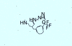 CNCCC(/C=C(\C)NC=N)CC1=C/CCC/C=C(C(OCC#N)C(F)(F)F)/C=C\1